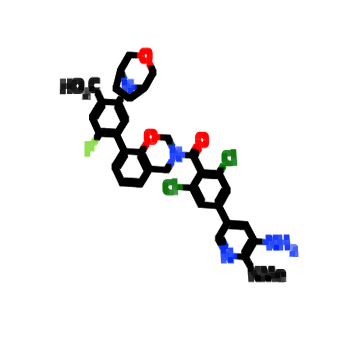 CNc1ncc(-c2cc(Cl)c(C(=O)N3COc4c(cccc4-c4cc(N5C6CCC5COC6)c(C(=O)O)cc4F)C3)c(Cl)c2)cc1N